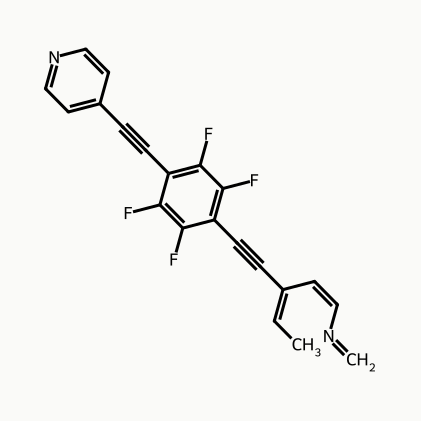 C=N/C=C\C(C#Cc1c(F)c(F)c(C#Cc2ccncc2)c(F)c1F)=C/C